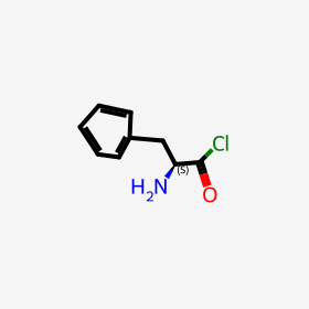 N[C@@H](Cc1ccccc1)C(=O)Cl